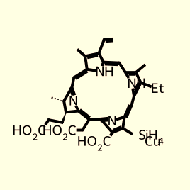 C=Cc1c(C)c2cc3nc(c(CC(=O)O)c4nc(cc5[nH]c(cc1[nH]2)c(C)c5CC)C(C)=C4C(=O)O)[C@@H](CCC(=O)O)[C@@H]3C.[Cu].[SiH4]